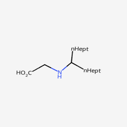 CCCCCCCC(CCCCCCC)NCC(=O)O